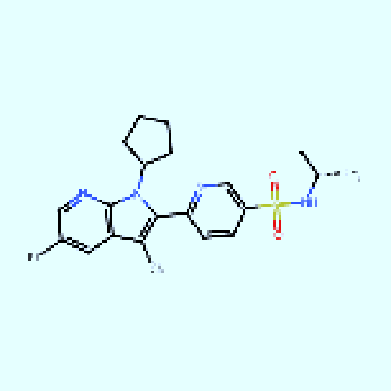 CCc1cnc2c(c1)c(C#N)c(-c1ccc(S(=O)(=O)N[C@H](C)C(F)(F)F)cn1)n2C1CCCC1